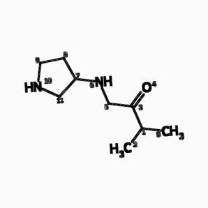 CC(C)C(=O)CNC1CCNC1